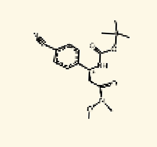 CON(C)C(=O)C[C@H](NC(=O)OC(C)(C)C)c1ccc(C#N)cc1